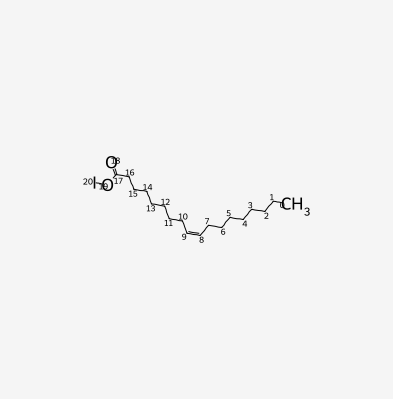 CCCCCCCC/C=C\CCCCCCCC(=O)OI